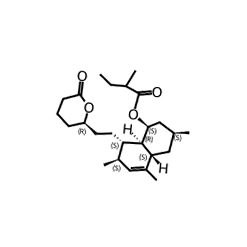 CCC(C)C(=O)O[C@H]1C[C@@H](C)C[C@@H]2C(C)=C[C@@H](C)[C@H](CC[C@H]3CCCC(=O)O3)[C@@H]12